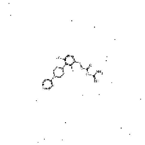 N#Cc1ccc(COC(=O)NC(=N)N)c(F)c1N1CCN(c2ccncn2)CC1